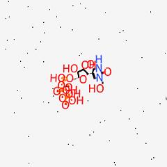 O=c1[nH]c(=O)n(CO)cc1[C@@H]1O[C@H](COP(=O)(O)OP(=O)(O)OP(=O)(O)O)[C@@H](O)[C@H]1O